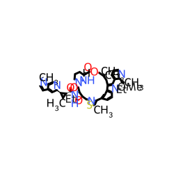 CCO[C@@H]1C2=NC(c3ccc4c(c3)c(c(-c3cccnc3[C@H](C)OC)n4CC)CC(C)(C)COC(=O)[C@@H]3CCCN(N3)C(=O)[C@H]1NC(=O)[C@@H]1[C@@H](C)[C@H]1c1cc3ccn(C)c3cn1)C(C)S2